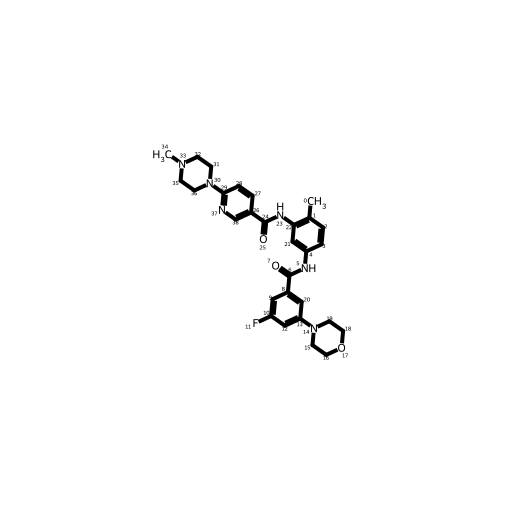 Cc1ccc(NC(=O)c2cc(F)cc(N3CCOCC3)c2)cc1NC(=O)c1ccc(N2CCN(C)CC2)nc1